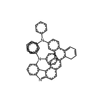 C1=CCc2c(c3ccc(N(c4ccccc4)c4ccccc4)cc3c3cc4c5c(ccc4cc23)=Nc2cccc(N(c3ccccc3)c3ccccc3)c2-5)=C1